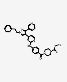 CC(C)(C)OC(=O)N1CCN(C(=O)c2ccc(Nc3nccc(-c4cn(CCc5ccccc5)nc4-c4cccnc4)n3)cc2)CC1